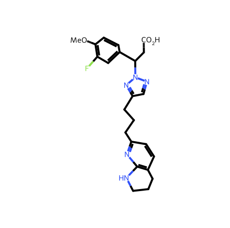 COc1ccc(C(CC(=O)O)n2ncc(CCCc3ccc4c(n3)NCCC4)n2)cc1F